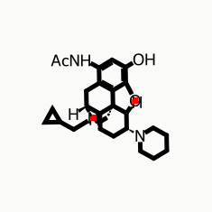 CC(=O)Nc1cc(O)c2c3c1C[C@@H]1[C@@H]4CC[C@@H](N5CCCCC5)[C@H](O2)[C@]34CCN1CC1CC1